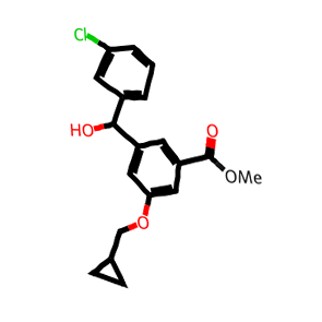 COC(=O)c1cc(OCC2CC2)cc(C(O)c2cccc(Cl)c2)c1